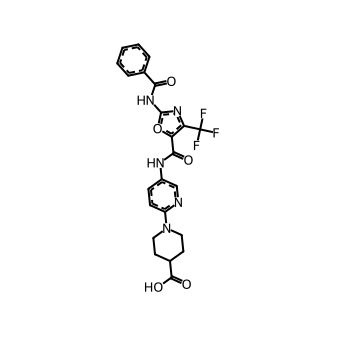 O=C(Nc1nc(C(F)(F)F)c(C(=O)Nc2ccc(N3CCC(C(=O)O)CC3)nc2)o1)c1ccccc1